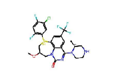 COC1Cn2c(=O)nc(N3CCNC[C@@H]3C)c3cc(C(F)(F)F)cc(c32)[SH](c2cc(Cl)c(F)cc2F)C1